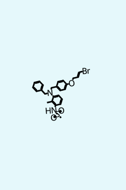 Cc1c(NS(C)(=O)=O)cccc1N(Cc1ccccc1)Cc1ccc(OCC=CBr)cc1